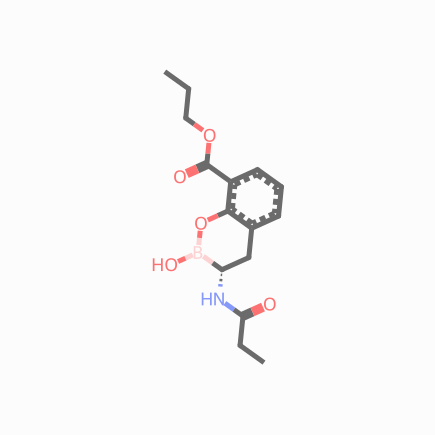 CCCOC(=O)c1cccc2c1OB(O)[C@@H](NC(=O)CC)C2